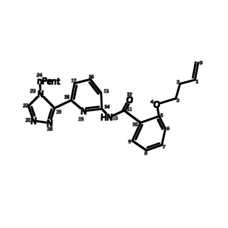 C=CCCOc1ccccc1C(=O)Nc1cccc(-c2nncn2CCCCC)n1